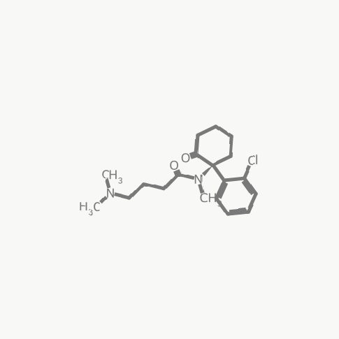 CN(C)CCCC(=O)N(C)[C@]1(c2ccccc2Cl)CCCCC1=O